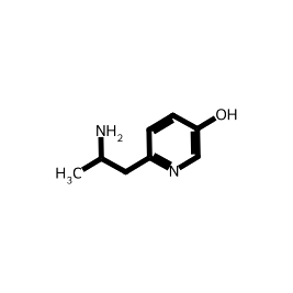 CC(N)Cc1ccc(O)cn1